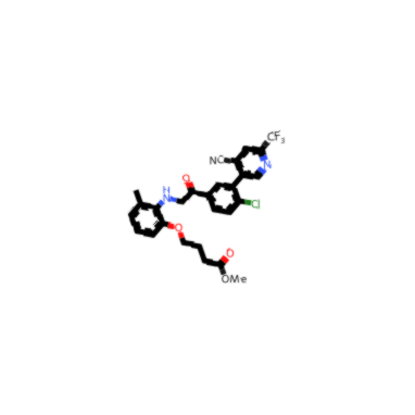 COC(=O)CCCOc1cccc(C)c1NCC(=O)c1ccc(Cl)c(-c2cnc(C(F)(F)F)cc2C#N)c1